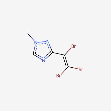 Cn1cnc(C(Br)=C(Br)Br)n1